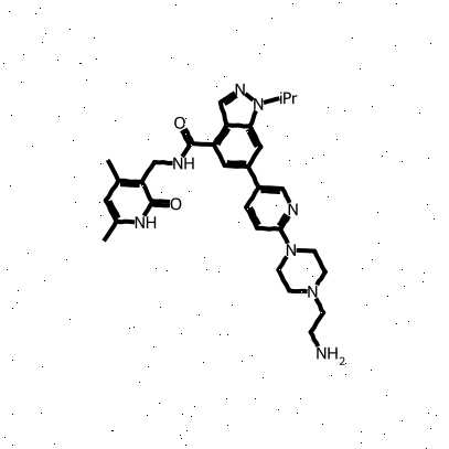 Cc1cc(C)c(CNC(=O)c2cc(-c3ccc(N4CCN(CCN)CC4)nc3)cc3c2cnn3C(C)C)c(=O)[nH]1